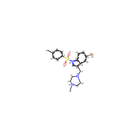 Cc1ccc(S(=O)(=O)n2cc(CN3CCN(C)CC3)c3cc(Br)ccc32)cc1